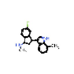 CNC1CC(c2c[nH]c3c(C)cccc23)c2cc(F)ccc21